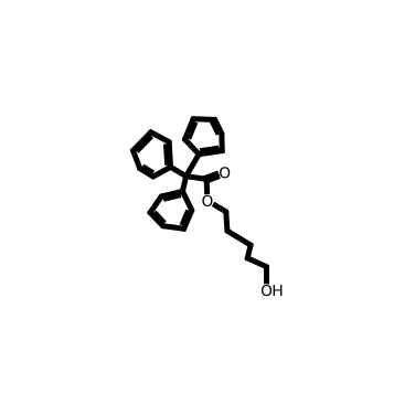 O=C(OCCCCCO)C(c1ccccc1)(c1ccccc1)c1ccccc1